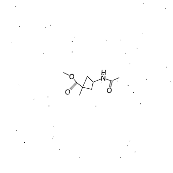 COC(=O)C1(C)CC(NC(C)=O)C1